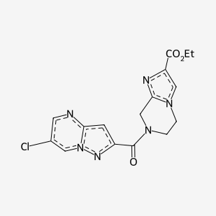 CCOC(=O)c1cn2c(n1)CN(C(=O)c1cc3ncc(Cl)cn3n1)CC2